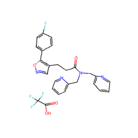 O=C(CCc1cnoc1-c1ccc(F)cc1)N(Cc1ccccn1)Cc1ccccn1.O=C(O)C(F)(F)F